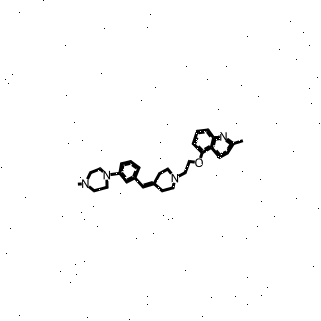 Cc1ccc2c(OCCN3CCC(=Cc4cccc(N5CCN(C)CC5)c4)CC3)cccc2n1